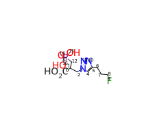 O=C(O)C(Cn1cc(CCCF)nn1)CP(=O)(O)O